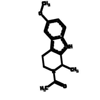 COc1ccc2[nH]c3c(c2c1)CCN(C(C)=O)C3C